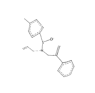 C=CCN(CC(=C)c1ccccc1)[S+]([O-])c1ccc(C)cc1